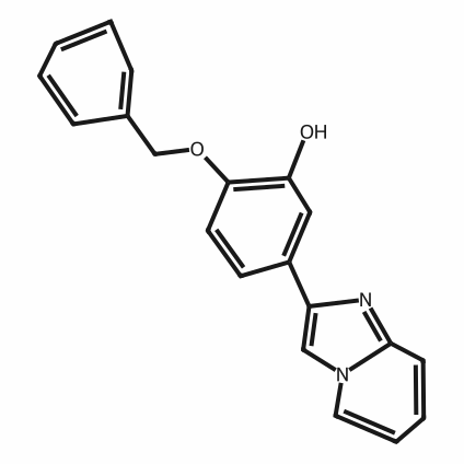 Oc1cc(-c2cn3ccccc3n2)ccc1OCc1ccccc1